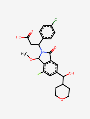 COC1c2c(F)cc(C(O)C3CCOCC3)cc2C(=O)N1C(CC(=O)O)c1ccc(Cl)cc1